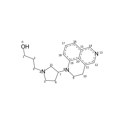 OCCCN1CCC(N2CCc3cncc4cccc2c34)C1